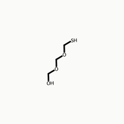 OCOCOCS